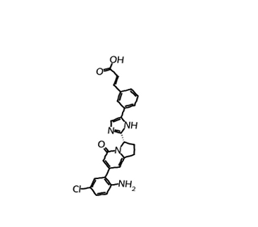 Nc1ccc(Cl)cc1-c1cc2n(c(=O)c1)[C@H](c1ncc(-c3cccc(/C=C/C(=O)O)c3)[nH]1)CC2